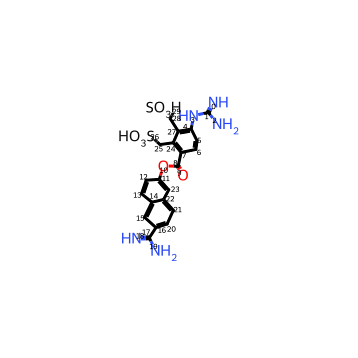 N=C(N)Nc1ccc(C(=O)Oc2ccc3cc(C(=N)N)ccc3c2)c(CS(=O)(=O)O)c1CS(=O)(=O)O